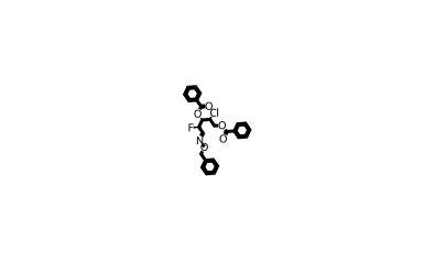 O=C(OC[C@H](Cl)[C@@H](OC(=O)c1ccccc1)[C@H](F)C=NOCc1ccccc1)c1ccccc1